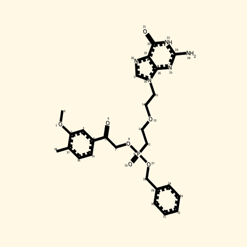 COc1cc(C(=O)COP(=O)(CCOCCn2cnc3c(=O)[nH]c(N)nc32)OCc2ccccc2)ccc1C